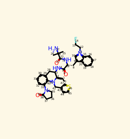 CC=C1C(NC(=O)[C@@H](Cc2cn(CCF)c3ccccc23)NC(=O)C(C)(C)N)Cc2cccc(N3CCCC3=O)c2N1Cc1ccsc1